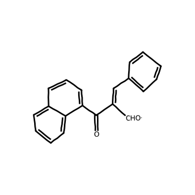 O=[C]C(=Cc1ccccc1)C(=O)c1cccc2ccccc12